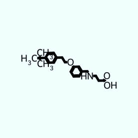 CC(C)(C)c1ccc(CCOc2cccc(CNCCC(=O)O)c2)cc1